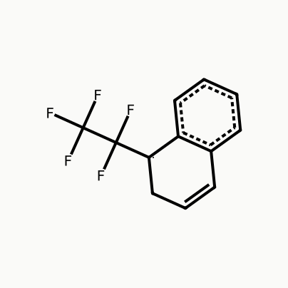 FC(F)(F)C(F)(F)[C]1CC=Cc2ccccc21